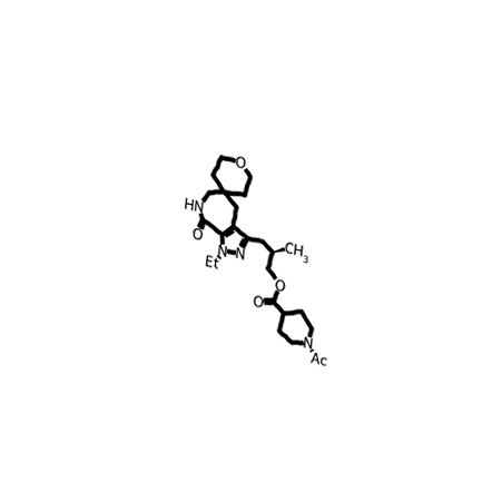 CCn1nc(C[C@@H](C)COC(=O)C2CCN(C(C)=O)CC2)c2c1C(=O)NCC1(CCOCC1)C2